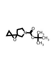 CC(C)(C)OC(=O)N1CCC2(C1)OC21CC1